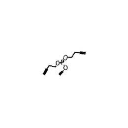 C#CCCOP(OC#C)OCCC#C